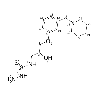 NNC(=S)NCC(O)COc1cccc(CN2CCCCC2)c1